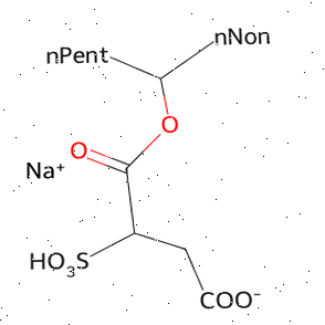 CCCCCCCCCC(CCCCC)OC(=O)C(CC(=O)[O-])S(=O)(=O)O.[Na+]